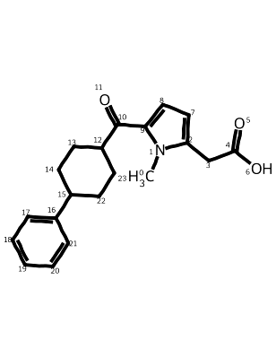 Cn1c(CC(=O)O)ccc1C(=O)C1CCC(c2ccccc2)CC1